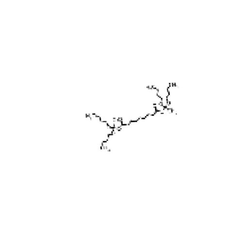 CCCCOC(C)(OCCCC)OC(=O)CCCCCCCC(=O)OC(C)(OCCCC)OCCCC